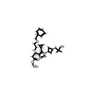 CC(C)C(C)(C)C[C@H]1C[C@@H](n2nnc([C@@H](CCCOCc3ccccc3)CC(=O)OC(C)(C)C)c2C2CC2)C1